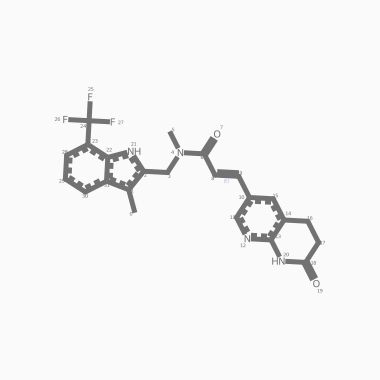 Cc1c(CN(C)C(=O)/C=C/c2cnc3c(c2)CCC(=O)N3)[nH]c2c(C(F)(F)F)cccc12